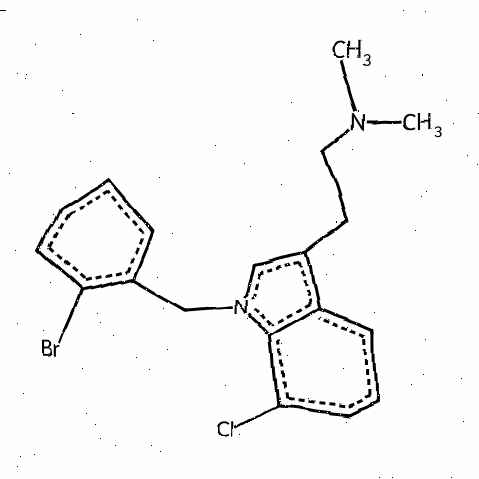 CN(C)CCc1cn(Cc2ccccc2Br)c2c(Cl)cccc12